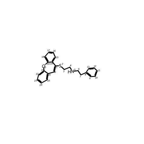 C1=C(SCCNCCc2ccccc2)c2ccccc2Oc2ccccc21